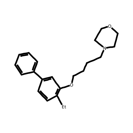 CCc1ccc(-c2ccccc2)cc1OCCCCN1CCOCC1